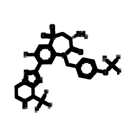 N[C@H]1CS(=O)(=O)c2cc(F)c(-c3nc4n(n3)CCNC4C(F)(F)F)cc2N(Cc2ccc(OC(F)(F)F)cc2)C1=O